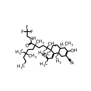 CCCC(C)(C)CC[C@@](C)(CCC(C)(C)[C@]1(C)CC[C@H]2[C@H](C)C(O)=C(C#N)C[C@]2(C)/C1=C/C(C)=O)C(=O)NCC(F)(F)F